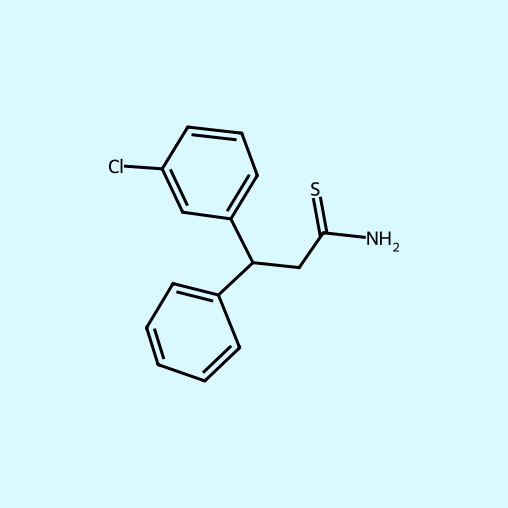 NC(=S)CC(c1ccccc1)c1cccc(Cl)c1